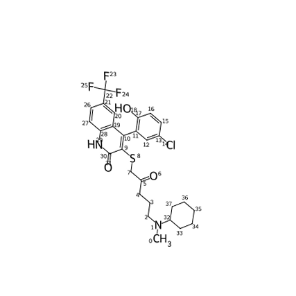 CN(CCCC(=O)CSc1c(-c2cc(Cl)ccc2O)c2cc(C(F)(F)F)ccc2[nH]c1=O)C1CCCCC1